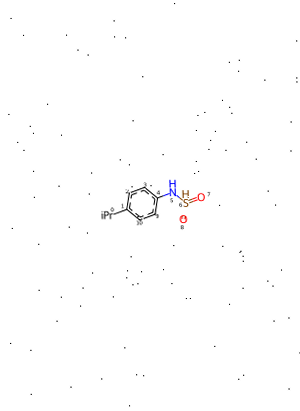 CC(C)c1ccc(N[SH](=O)=O)cc1